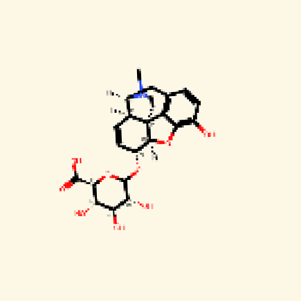 CN1CC[C@]23c4c5ccc(O)c4O[C@H]2[C@H](OC2O[C@H](C(=O)O)[C@@H](O)[C@H](O)[C@H]2O)C=C[C@H]3[C@H]1C5